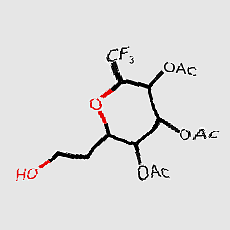 CC(=O)OC1C(CCO)OC(C(F)(F)F)C(OC(C)=O)C1OC(C)=O